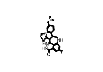 CCn1ncnc1C1c2n[nH]c(=O)c3cc(F)cc(c23)NCC1c1ccc(CN(C)C)cc1